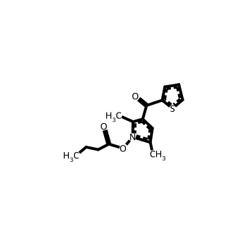 CCCC(=O)On1c(C)cc(C(=O)c2cccs2)c1C